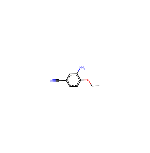 CCOc1ccc(C#N)cc1N